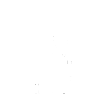 CCOc1c(CC)c(CC)c(O[Si](Oc2ccccc2)(Oc2ccccc2)Oc2ccccc2)c(-c2ccccc2)c1OCC